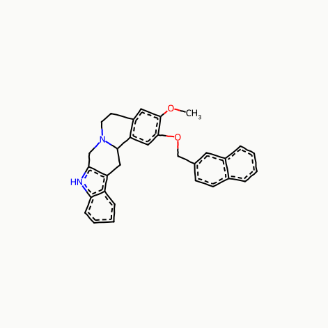 COc1cc2c(cc1OCc1ccc3ccccc3c1)C1Cc3c([nH]c4ccccc34)CN1CC2